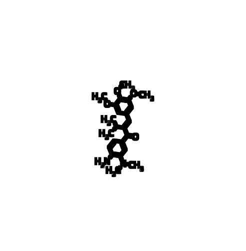 COc1cc(/C=C(/C(=O)c2ccc(N)c(N(C)C)c2)C(C)C)cc(OC)c1OC